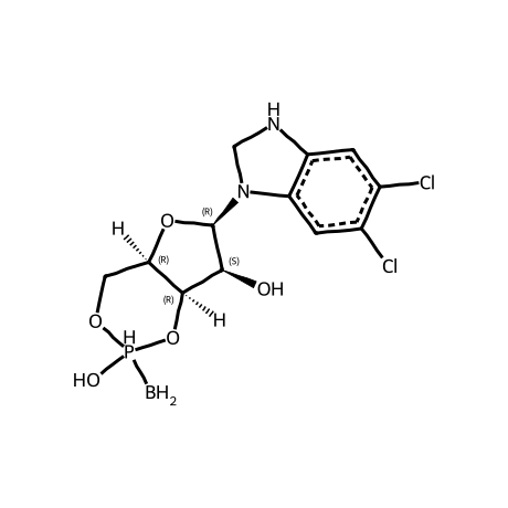 B[PH]1(O)OC[C@H]2O[C@@H](N3CNc4cc(Cl)c(Cl)cc43)[C@@H](O)[C@H]2O1